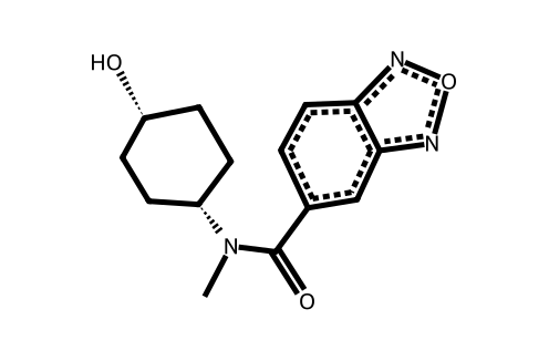 CN(C(=O)c1ccc2nonc2c1)[C@H]1CC[C@@H](O)CC1